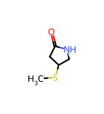 CSC1CNC(=O)C1